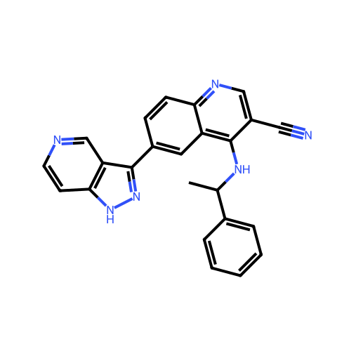 CC(Nc1c(C#N)cnc2ccc(-c3n[nH]c4ccncc34)cc12)c1ccccc1